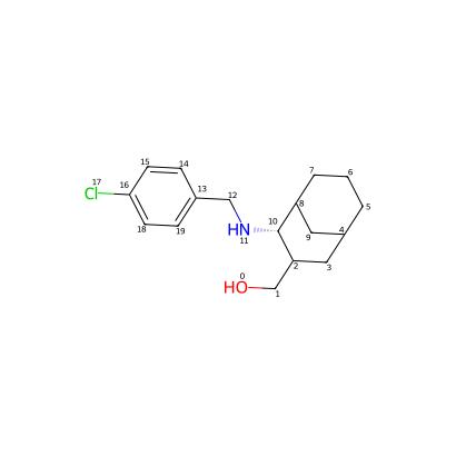 OCC1CC2CCCC(C2)[C@H]1NCc1ccc(Cl)cc1